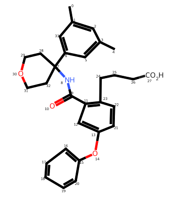 Cc1cc(C)cc(C2(NC(=O)c3cc(Oc4ccccc4)ccc3CCCC(=O)O)CCOCC2)c1